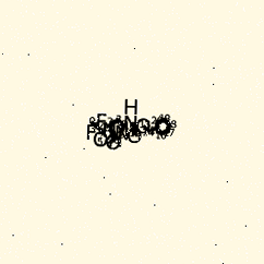 CC(F)(F)[C@@H](O)n1ccc(NC(=O)OCc2ccccc2)nc1=O